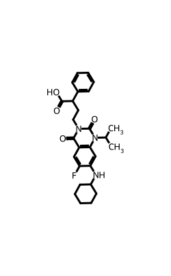 CC(C)n1c(=O)n(CCC(C(=O)O)c2ccccc2)c(=O)c2cc(F)c(NC3CCCCC3)cc21